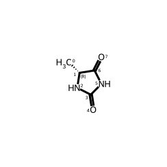 C[C@H]1NC(=O)NC1=O